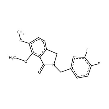 COc1ccc2c(c1OC)C(=O)N(Cc1ccc(F)c(F)c1)C2